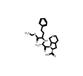 CCOC(=O)C(CCc1ccccc1)N[C@@H](C)C(=O)N1C2CSCCC2C[C@H]1C(=O)O